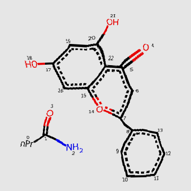 CCCC(N)=O.O=c1cc(-c2ccccc2)oc2cc(O)cc(O)c12